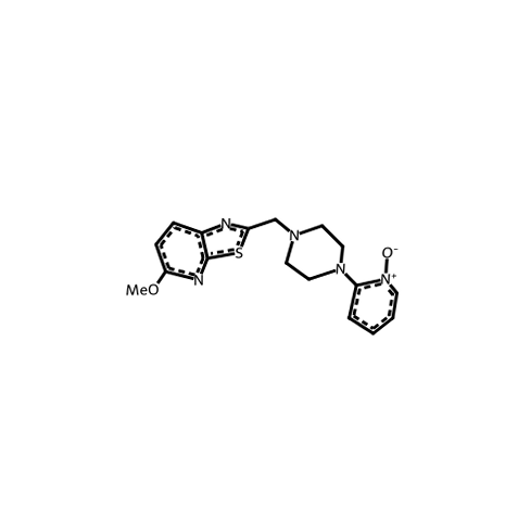 COc1ccc2nc(CN3CCN(c4cccc[n+]4[O-])CC3)sc2n1